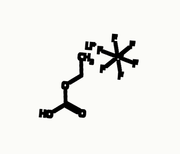 CCOC(=O)O.F[P-](F)(F)(F)(F)F.[Li+]